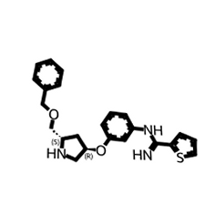 N=C(Nc1cccc(O[C@H]2CN[C@H](COCc3ccccc3)C2)c1)c1cccs1